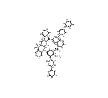 CC1(C)c2ccccc2N(c2nc(N)c(N)c(-c3ccc(-c4ccccc4)cc3)n2)c2cc3c(cc21)c1ccccc1n3-c1nc(-c2ccc(-c3ccccc3)cc2)c2nccnc2n1